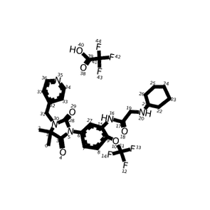 CC1(C)C(=O)N(c2ccc(OC(F)(F)F)c(NC(=O)CNC3CCCCC3)c2)C(=O)N1Cc1ccncc1.O=C(O)C(F)(F)F